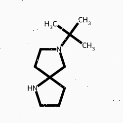 CC(C)(C)N1CCC2(CCCN2)C1